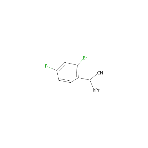 CCCC(C#N)c1ccc(F)cc1Br